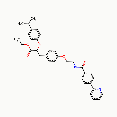 CCOC(=O)C(Cc1ccc(OCCNC(=O)c2ccc(-c3ccccn3)cc2)cc1)Oc1ccc(C(C)C)cc1